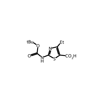 CCc1nc(NC(=O)OC(C)(C)C)sc1C(=O)O